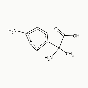 CC(N)(C(=O)O)c1ccc(N)cc1